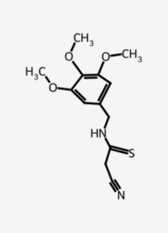 COc1cc(CNC(=S)CC#N)cc(OC)c1OC